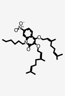 CCCCCCn1c(=O)c(OCC=C(C)CCC=C(C)C)c(OCC=C(C)CCC=C(C)C)c2ccc([N+](=O)[O-])cc21